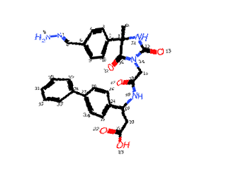 CC1(c2ccc(C=NN)cc2)NC(=O)N(CC(=O)NC(CC(=O)O)c2ccc(-c3ccccc3)cc2)C1=O